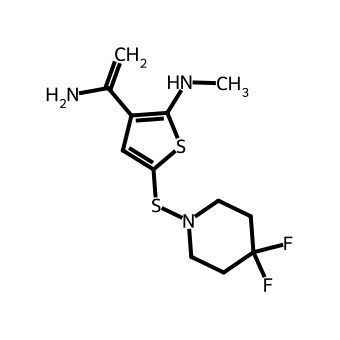 C=C(N)c1cc(SN2CCC(F)(F)CC2)sc1NC